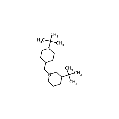 CC(C)(C)C1CCCN(CC2CCN(C(C)(C)C)CC2)C1